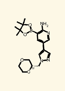 CC1(C)OB(c2cc(-c3cnn(C[C@H]4COCCO4)c3)cnc2N)OC1(C)C